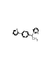 CC(c1ccc(-c2cccs2)cc1)n1cccn1